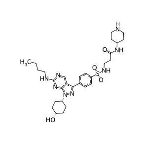 CCCCNc1ncc2c(-c3ccc(S(=O)(=O)NCCC(=O)NC4CCNCC4)cc3)nn([C@H]3CC[C@@H](O)CC3)c2n1